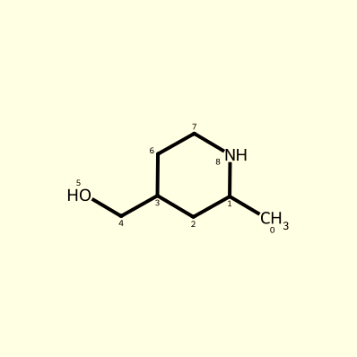 CC1CC(CO)CCN1